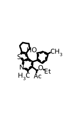 CCOC(C(C)=O)c1c(C)nc2sc3c(c2c1-c1ccc(C)cc1O)CCCC3